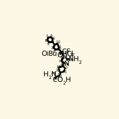 CC(C)COc1cc(-c2ccccc2)ccc1C(Oc1cc(C2=CCC(CC(N)C(=O)O)CC2)nc(N)n1)C(F)(F)F.Cl